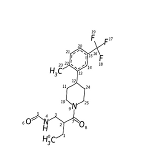 CCC(CNC=O)C(=O)N1CCC(c2cc(C(F)(F)F)ccc2C)CC1